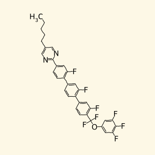 CCCCCc1cnc(-c2ccc(-c3ccc(-c4ccc(C(F)(F)Oc5cc(F)c(F)c(F)c5)c(F)c4)c(F)c3)c(F)c2)nc1